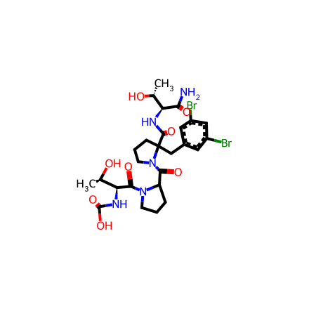 C[C@@H](O)[C@H](NC(=O)C1(Cc2cc(Br)cc(Br)c2)CCCN1C(=O)C1CCCN1C(=O)[C@@H](NC(=O)O)[C@@H](C)O)C(N)=O